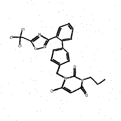 CCCn1c(=O)cc(Cl)n(Cc2ccc(-c3ccccc3-c3noc(C(Cl)(Cl)Cl)n3)cc2)c1=O